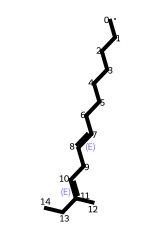 [CH2]CCCCCC/C=C/C/C=C(\C)CC